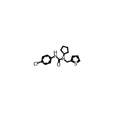 O=C(Nc1ccc(Cl)cc1)N(Cc1cccs1)C1CCCC1